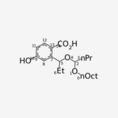 CCCCCCCCOC(CCC)OC(CC)c1cc(O)ccc1C(=O)O